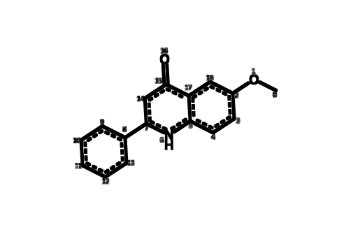 COc1ccc2[nH]c(-c3ccccc3)cc(=O)c2c1